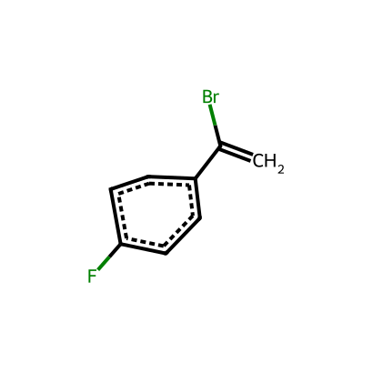 C=C(Br)c1ccc(F)cc1